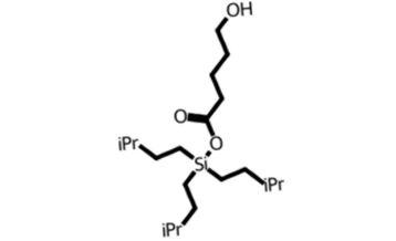 CC(C)CC[Si](CCC(C)C)(CCC(C)C)OC(=O)CCCCO